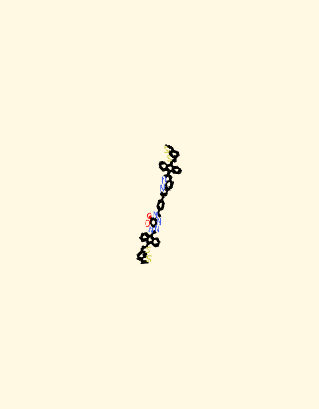 O=C1C(=O)c2nc(-c3c4ccccc4c(-c4cc5ccc6ccsc6c5s4)c4ccccc34)cnc2-c2ncc(-c3ccc(-c4cnc5c(ccc6cc(-c7c8ccccc8c(-c8cc9ccc%10ccsc%10c9s8)c8ccccc78)cnc65)c4)cc3)nc21